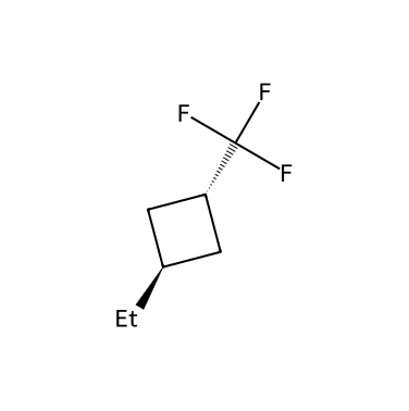 CC[C@H]1C[C@H](C(F)(F)F)C1